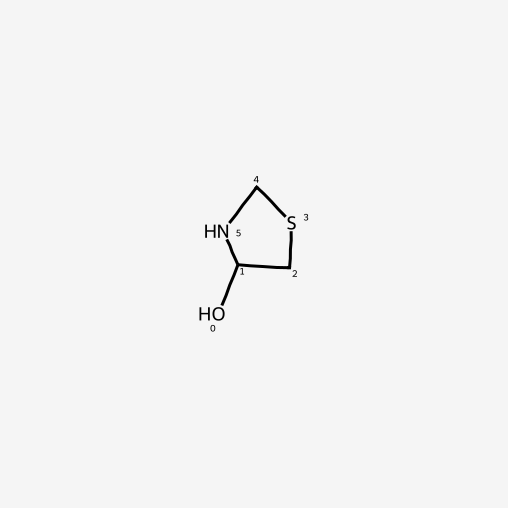 OC1CSCN1